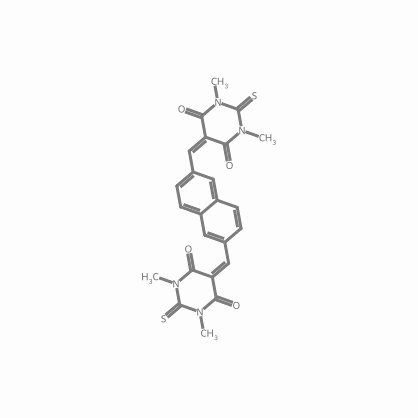 CN1C(=O)C(=Cc2ccc3cc(C=C4C(=O)N(C)C(=S)N(C)C4=O)ccc3c2)C(=O)N(C)C1=S